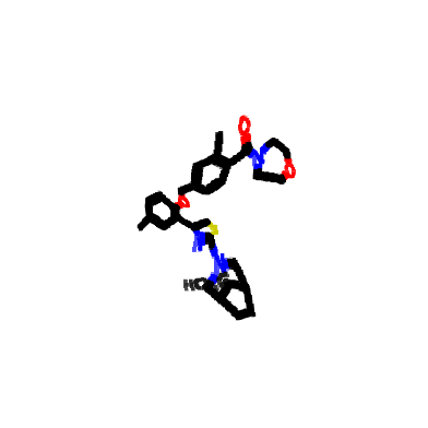 Cc1ccc(OCc2ccc(C(=O)N3CCOCC3)c(C)c2)c(-c2csc(N3CC4CCC(C3)C4C(=O)O)n2)c1